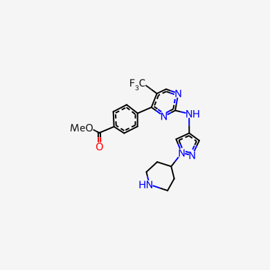 COC(=O)c1ccc(-c2nc(Nc3cnn(C4CCNCC4)c3)ncc2C(F)(F)F)cc1